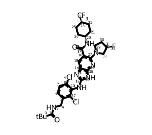 CC(C)(C)C(=O)NCc1ccc(Cl)c(Nc2nc3cc(C(=O)N[C@H]4CC[C@H](C(F)(F)F)CC4)c(N4CC[C@@H](F)C4)nc3[nH]2)c1Cl